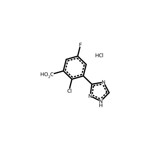 Cl.O=C(O)c1cc(F)cc(-c2nc[nH]n2)c1Cl